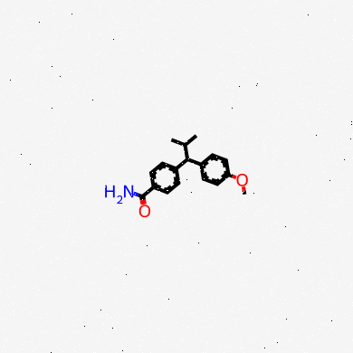 COc1ccc(C(c2ccc(C(N)=O)cc2)C(C)C)cc1